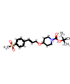 CC(C)(C)OC(=O)N1CCC(OCC=Cc2ccc(S(C)(=O)=O)cc2)CC1